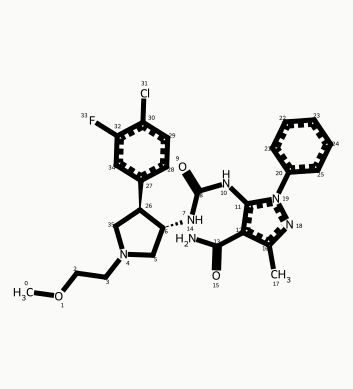 COCCN1C[C@@H](NC(=O)Nc2c(C(N)=O)c(C)nn2-c2ccccc2)[C@H](c2ccc(Cl)c(F)c2)C1